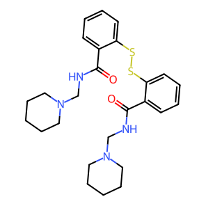 O=C(NCN1CCCCC1)c1ccccc1SSc1ccccc1C(=O)NCN1CCCCC1